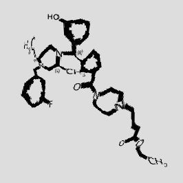 CCOC(=O)CCCN1CCN(C(=O)c2cccc([C@H](c3cccc(O)c3)N3C[C@@H](C)N(Cc4cccc(F)c4)C[C@@H]3C)c2)CC1